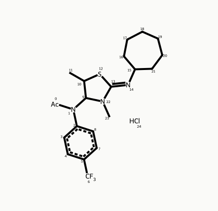 CC(=O)N(c1ccc(C(F)(F)F)cc1)C1C(C)SC(=NC2CCCCCC2)N1C.Cl